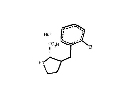 Cl.O=C(O)[C@H]1NCCC1Cc1ccccc1Cl